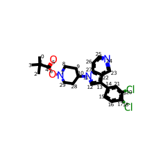 CC(C)(C)C(=O)ON1CCC(n2cc(-c3ccc(Cl)c(Cl)c3)c3cnccc32)CC1